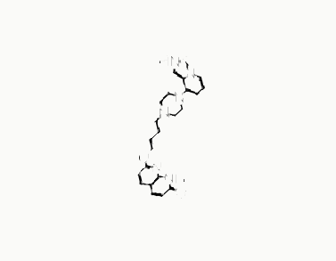 O=c1ccc2ccc(OCCCCN3CCN(C4=CC=CN5SNC=C45)CC3)nc2[nH]1